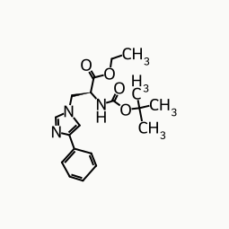 CCOC(=O)[C@H](Cn1cnc(-c2ccccc2)c1)NC(=O)OC(C)(C)C